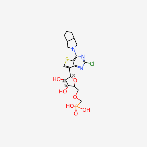 O=P(O)(O)COCC1O[C@H](c2csc3c(N4CC5CCCC5C4)nc(Cl)nc23)[C@H](O)[C@@H]1O